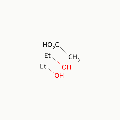 CC(=O)O.CCO.CCO